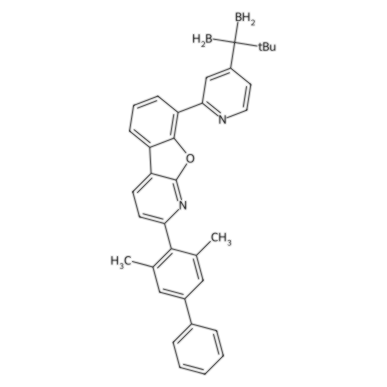 BC(B)(c1ccnc(-c2cccc3c2oc2nc(-c4c(C)cc(-c5ccccc5)cc4C)ccc23)c1)C(C)(C)C